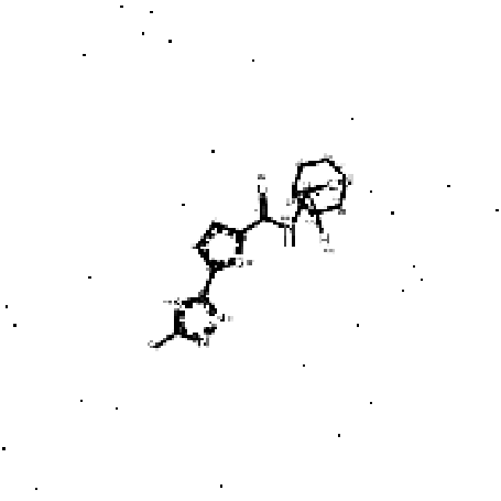 Cc1nnc(-c2ccc(C(=O)N[C@H]3CN4CCC3CC4)s2)s1